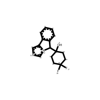 OC1(C2c3ccccc3-c3cncn32)CCC(F)(F)CC1